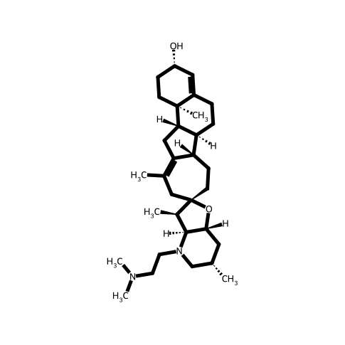 CC1=C2C[C@H]3[C@@H](CCC4=C[C@@H](O)CC[C@@]43C)[C@@H]2CC[C@@]2(C1)O[C@@H]1C[C@H](C)CN(CCN(C)C)[C@H]1[C@H]2C